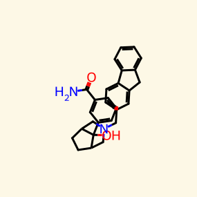 NC(=O)c1cccc(C2(O)C3CCC2CN(Cc2ccc4c(c2)Cc2ccccc2-4)C3)c1